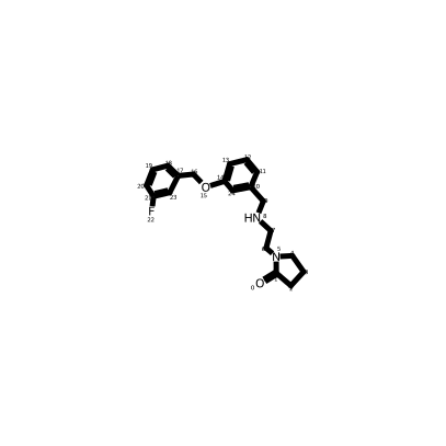 O=C1CCCN1CCNCc1cccc(OCc2cccc(F)c2)c1